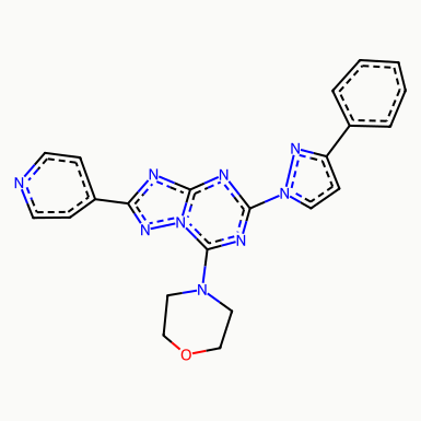 c1ccc(-c2ccn(-c3nc(N4CCOCC4)n4nc(-c5ccncc5)nc4n3)n2)cc1